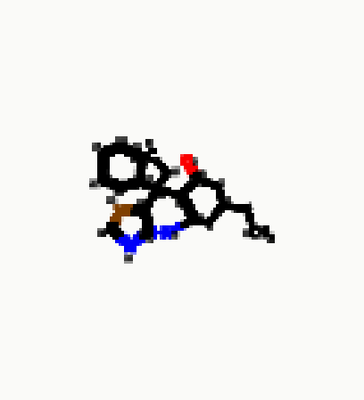 CCC1CC(=O)C2=C(C1)Nc1ncsc1C2(CC)c1ccccc1